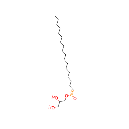 CCCCCCCCCCCCCCCCCC[PH](=O)OCC(O)CO